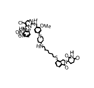 COc1cc(N2CCC(NCCCCCCSc3cccc4c3CN(C3CCC(=O)NC3=O)C4=O)CC2)ccc1Nc1ncc(Cl)c(Nc2ccccc2P(=O)(OC)OC)n1